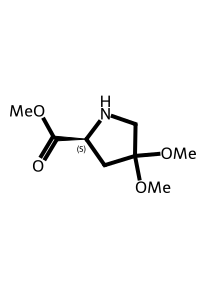 COC(=O)[C@@H]1CC(OC)(OC)CN1